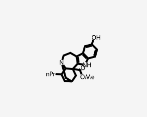 CCCC1CC2CN3CCc4c([nH]c5ccc(O)cc45)C(C(=O)OC)(C2)C13